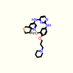 COc1cc(Nc2nccc(Nc3cnc4c(c3)CSCC4)n2)ccc1OCCCN1CCCCC1